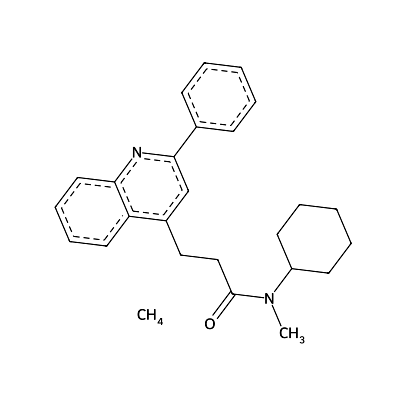 C.CN(C(=O)CCc1cc(-c2ccccc2)nc2ccccc12)C1CCCCC1